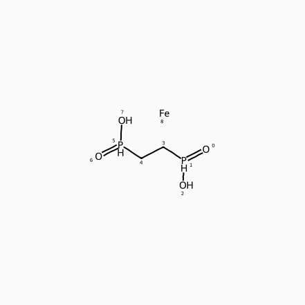 O=[PH](O)CC[PH](=O)O.[Fe]